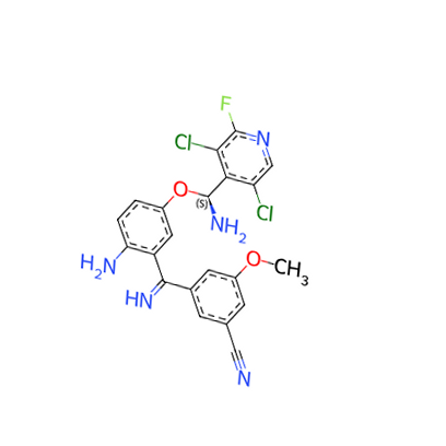 COc1cc(C#N)cc(C(=N)c2cc(O[C@H](N)c3c(Cl)cnc(F)c3Cl)ccc2N)c1